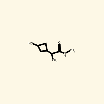 CNC(=O)C(C)C1CC(O)C1